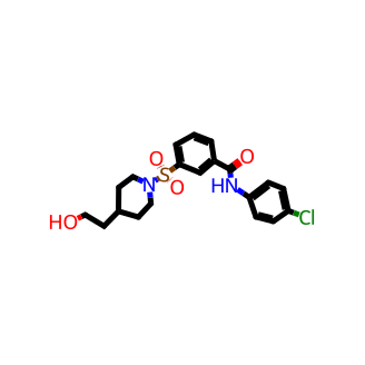 O=C(Nc1ccc(Cl)cc1)c1cccc(S(=O)(=O)N2CCC(CCO)CC2)c1